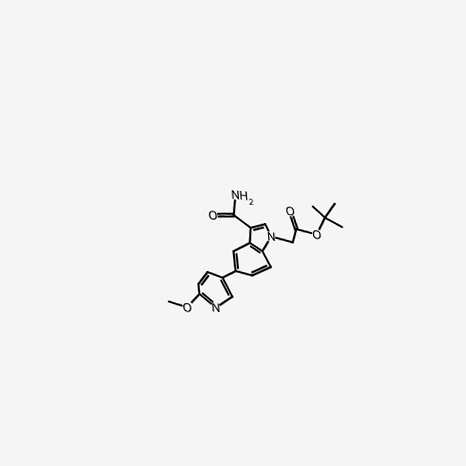 COc1ccc(-c2ccc3c(c2)c(C(N)=O)cn3CC(=O)OC(C)(C)C)cn1